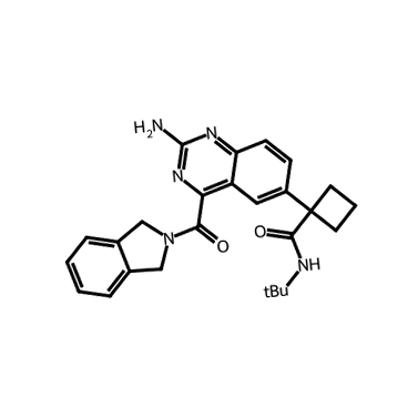 CC(C)(C)NC(=O)C1(c2ccc3nc(N)nc(C(=O)N4Cc5ccccc5C4)c3c2)CCC1